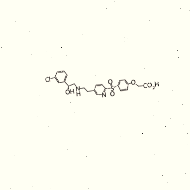 O=C(O)COc1ccc(S(=O)(=O)c2ccc(CCNC[C@@H](O)c3cccc(Cl)c3)cn2)cc1